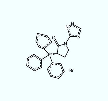 O=C1[C@H]([P+](c2ccccc2)(c2ccccc2)c2ccccc2)CCN1c1nncs1.[Br-]